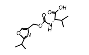 CC(C)c1nc(COC(=O)N[C@H](C(=O)O)C(C)C)co1